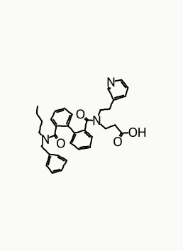 CCCCN(Cc1ccccc1)C(=O)c1ccccc1-c1ccccc1C(=O)N(CCC(=O)O)CCc1cccnc1